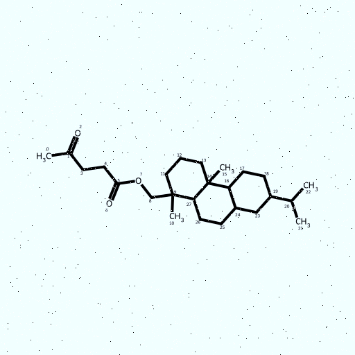 CC(=O)CCC(=O)OCC1(C)CCCC2(C)C3CCC(C(C)C)CC3CCC12